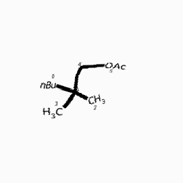 CCCCC(C)(C)COC(C)=O